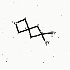 CC(C)C1(C(C)C)CC2(COC2)C1